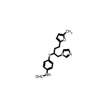 Cc1ccc(CCC(Cn2ccnc2)Sc2ccc(NC=O)cc2)o1